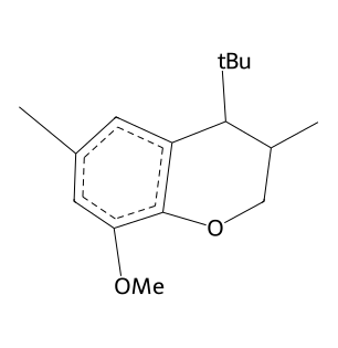 COc1cc(C)cc2c1OCC(C)C2C(C)(C)C